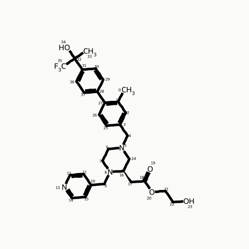 Cc1cc(CN2CCN(Cc3ccncc3)[C@H](CC(=O)OCCO)C2)ccc1-c1ccc(C(C)(O)C(F)(F)F)cc1